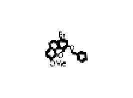 COC1=CC=C2CCc3c(Br)cc(OCc4ccccc4)c4c3C2C1O4